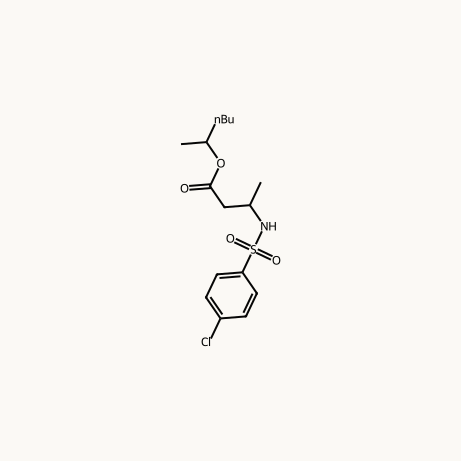 CCCCC(C)OC(=O)CC(C)NS(=O)(=O)c1ccc(Cl)cc1